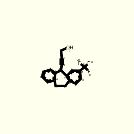 OCC#CC1c2ccccc2CCc2ccc(C(F)(F)F)cc21